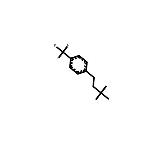 CC(C)(C)CCc1ccc(C(F)(F)F)cc1